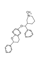 CN1CCCC(C(Oc2ccc3c(c2)CCC(c2ccccc2)O3)c2ccccc2)C1